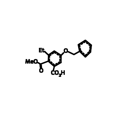 CCc1cc(OCc2ccccc2)cc(C(=O)O)c1C(=O)OC